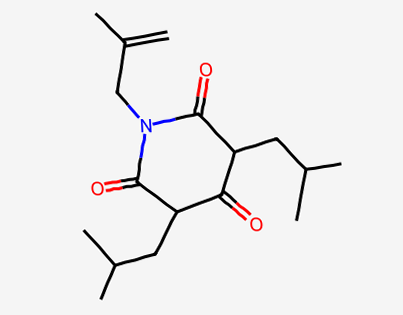 C=C(C)CN1C(=O)C(CC(C)C)C(=O)C(CC(C)C)C1=O